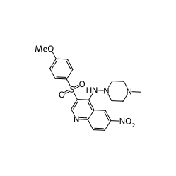 COc1ccc(S(=O)(=O)c2cnc3ccc([N+](=O)[O-])cc3c2NN2CCN(C)CC2)cc1